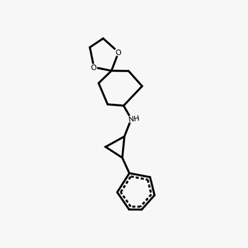 c1ccc(C2CC2NC2CCC3(CC2)OCCO3)cc1